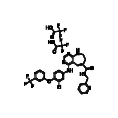 O=C(NCc1ccccn1)C1=Cc2c(ncnc2Nc2ccc(Oc3cccc(C(F)(F)F)c3)c(Cl)c2)NCC1.O=C(O)C(F)(F)F.O=C(O)C(F)(F)F